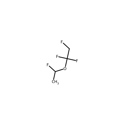 CC(F)OC(F)(F)CF